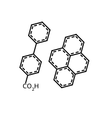 O=C(O)c1ccc(-c2ccccc2)cc1.c1cc2ccc3cccc4ccc(c1)c2c34